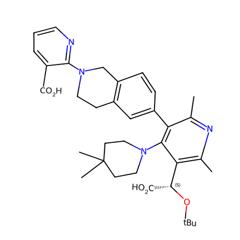 Cc1nc(C)c([C@H](OC(C)(C)C)C(=O)O)c(N2CCC(C)(C)CC2)c1-c1ccc2c(c1)CCN(c1ncccc1C(=O)O)C2